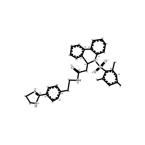 Cc1cc(C)c(S(=O)(=O)N2c3ccccc3-c3ccccc3C2CC(=O)NCCc2ccc(C3=NCCN3)cc2)c(C)c1